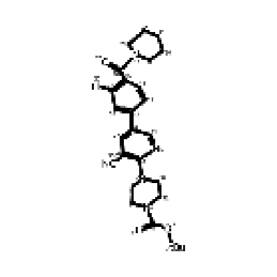 CC(C)(C)OC(=O)N1CCN(c2ncc(-c3ccc(C(=O)N4CCCCC4)c(Cl)c3)cc2C#N)CC1